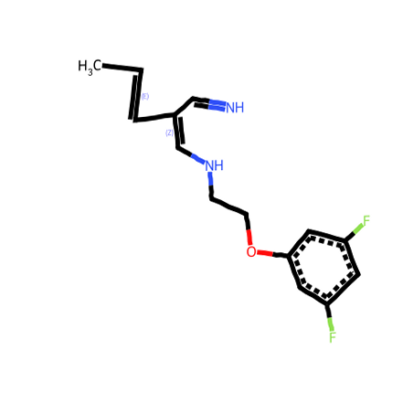 C/C=C/C(C=N)=C/NCCOc1cc(F)cc(F)c1